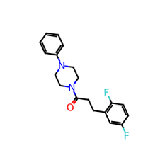 O=C(CCc1cc(F)ccc1F)N1CCN(c2ccccc2)CC1